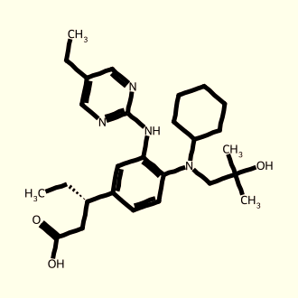 CCc1cnc(Nc2cc([C@@H](CC)CC(=O)O)ccc2N(CC(C)(C)O)C2CCCCC2)nc1